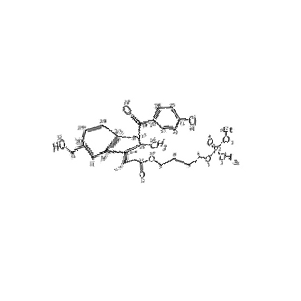 CCOP(C)(=O)OCCCCOC(=O)Cc1c(C)n(C(=O)c2ccc(Cl)cc2)c2ccc(CO)cc12